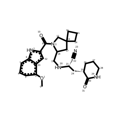 COc1cccc2[nH]c(C(=O)N3CC4(CCC4)CC3CN[C@H](C#N)C[C@@H]3CCCNC3=O)cc12